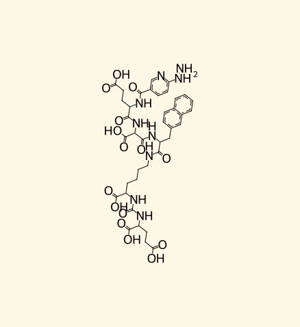 NNc1ccc(C(=O)NC(CCC(=O)O)C(=O)NC(C(=O)O)C(=O)NC(Cc2ccc3ccccc3c2)C(=O)NCCCCC(NC(=O)NC(CCC(=O)O)C(=O)O)C(=O)O)cn1